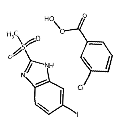 CS(=O)(=O)c1nc2ccc(I)cc2[nH]1.O=C(OO)c1cccc(Cl)c1